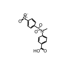 CN(c1ccc(C(=O)O)cc1)S(=O)(=O)c1ccc([N+](=O)[O-])cc1